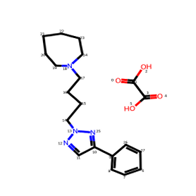 O=C(O)C(=O)O.c1ccc(-c2cnn(CCCCN3CCCCCC3)n2)cc1